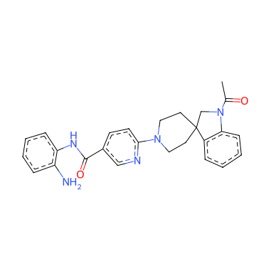 CC(=O)N1CC2(CCN(c3ccc(C(=O)Nc4ccccc4N)cn3)CC2)c2ccccc21